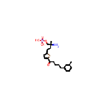 Cc1cccc(CCCCC(=O)c2ccc(CCC(C)(N)COP(=O)(O)O)s2)c1